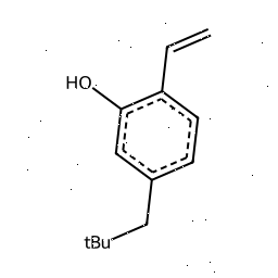 C=Cc1ccc(CC(C)(C)C)cc1O